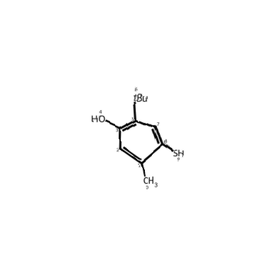 Cc1cc(O)c(C(C)(C)C)cc1S